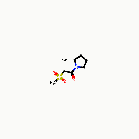 CS(=O)(=O)CC(=O)N1CCCC1.[NaH]